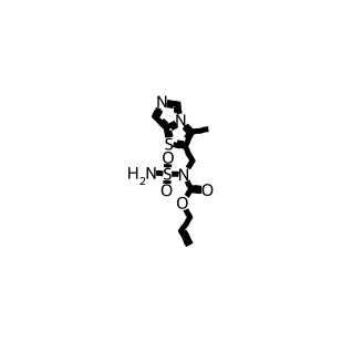 C=CCOC(=O)N(Cc1sc2cncn2c1C)S(N)(=O)=O